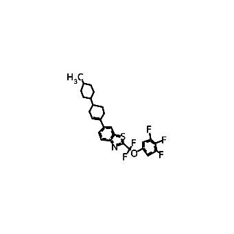 CC1CCC(C2CC=C(c3ccc4nc(C(F)(F)Oc5cc(F)c(F)c(F)c5)sc4c3)CC2)CC1